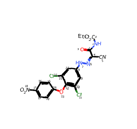 CCOC(=O)NC(=O)C(C#N)=NNc1cc(Cl)c(Oc2ccc([N+](=O)[O-])cc2)c(Cl)c1